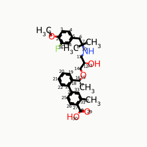 COc1ccc(CC(C)(C)NC[C@@H](O)CO[C@H](C)c2ccccc2-c2ccc(C(=O)O)c(C)c2)cc1F